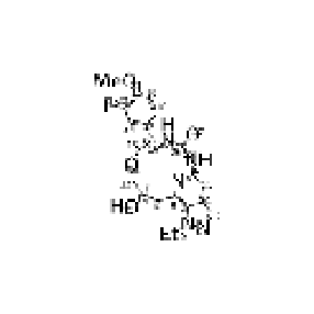 CCn1ncc2cc3nc(c21)C[C@@H](O)COC[C@H](c1ccc(OC)c(F)c1)NC(=O)N3